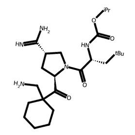 CC(C)OC(=O)N[C@H](CC(C)(C)C)C(=O)N1C[C@@H](C(=N)N)C[C@@H]1C(=O)C1(CN)CCCCC1